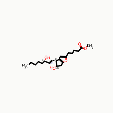 CCCCC[C@@H](O)/C=C/[C@@H]1c2cc(CCCCC(=O)OC)oc2C[C@H]1O